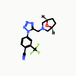 N#Cc1ccc(-n2nnnc2CN2C[C@H]3CC[C@@H](C2)O3)cc1C(F)(F)F